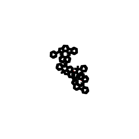 CC1(C)c2ccccc2N(c2cccc(-n3c4ccccc4c4ccc5cc(-c6cccc(CC7(C)c8ccccc8N(c8ccc(-n9c%10ccccc%10c%10ccc%11cc(-c%12ccccc%12)n(-c%12ccccc%12)c%11c%109)cc8)c8ccccc87)c6)n(-c6ccccc6)c5c43)c2)c2ccccc21